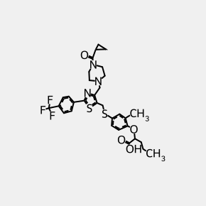 CCCC(Oc1ccc(SCc2sc(-c3ccc(C(F)(F)F)cc3)nc2CN2CCN(C(=O)C3CC3)CC2)cc1C)C(=O)O